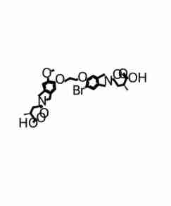 COc1cc2c(cc1OCCCOc1cc3c(cc1Br)CN(C(=O)C[C@H](C)C(=O)O)C3)CN(C(=O)C[C@H](C)C(=O)O)C2